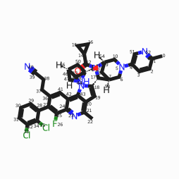 Cc1ccc(N2C[C@@H]3C[C@H](C2)N(C(=O)C2CC2)[C@H]3c2cc3c(C)nc4c(F)c(-c5cccc(Cl)c5Cl)c(CCC#N)cc4c3n2[C@H]2[C@H]3CN[C@@H]2C3)cn1